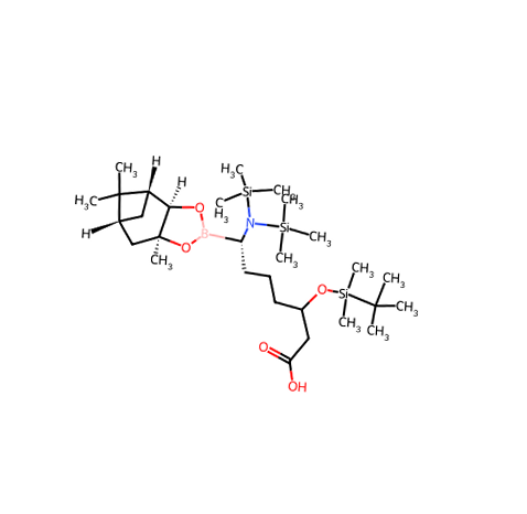 CC1(C)[C@@H]2C[C@H]1[C@H]1OB([C@@H](CCCC(CC(=O)O)O[Si](C)(C)C(C)(C)C)N([Si](C)(C)C)[Si](C)(C)C)O[C@@]1(C)C2